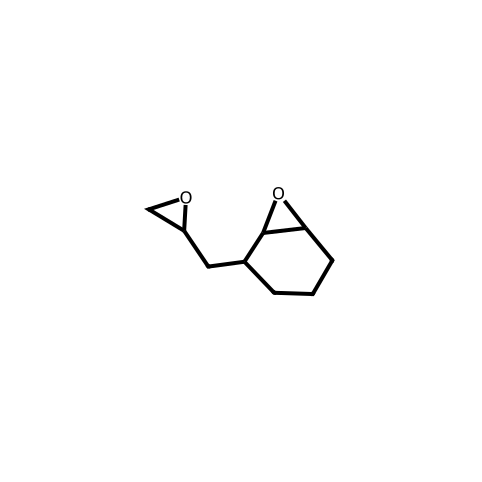 C1CC(CC2CO2)C2OC2C1